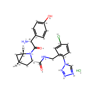 Cl.N[C@@H](C(=O)N1[C@H](C(=O)NCc2cc(Cl)ccc2-n2cnnn2)C[C@@H]2C[C@@H]21)c1ccc(O)cc1